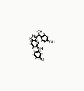 CC(c1ccc(O)cc1)c1nnc2ccc(Nc3cccc(Cl)c3)nn12